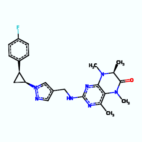 Cc1nc(NCc2cnn([C@H]3C[C@H]3c3ccc(F)cc3)c2)nc2c1N(C)C(=O)[C@H](C)N2C